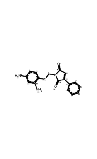 Nc1ccc(OCN2C(=O)C=C(c3ccccc3)C2=O)c(N)c1